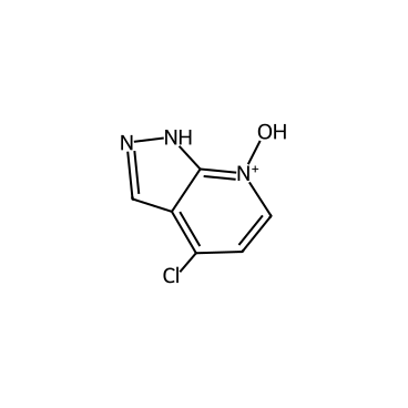 O[n+]1ccc(Cl)c2cn[nH]c21